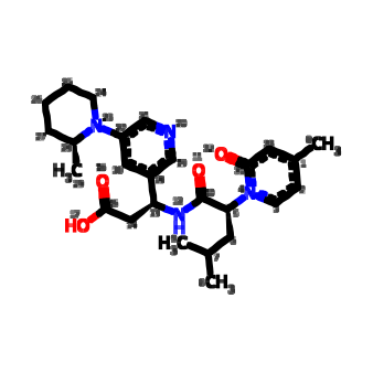 Cc1ccn([C@@H](CC(C)C)C(=O)N[C@@H](CC(=O)O)c2cncc(N3CCCC[C@@H]3C)c2)c(=O)c1